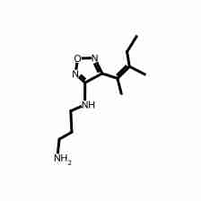 CC/C(C)=C(/C)c1nonc1NCCCN